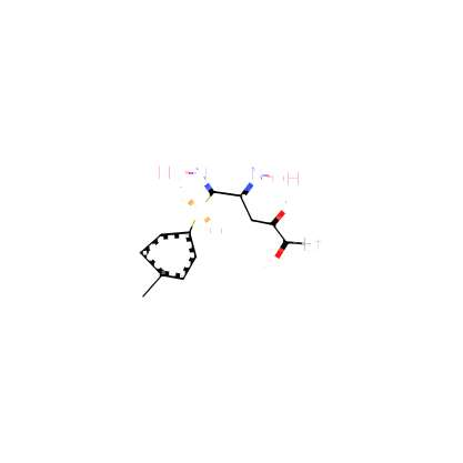 CCC(=O)C(=O)CC(=N\O)/C(=N/O)S(=O)(=O)c1ccc(C)cc1